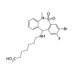 CN1c2ccccc2C(NCCCCCCC(=O)O)c2cc(F)c(Br)cc2S1(=O)=O